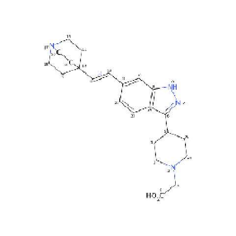 O=C(O)CN1CCC(c2n[nH]c3cc(/C=C/C45CCN(CC4)CC5)ccc23)CC1